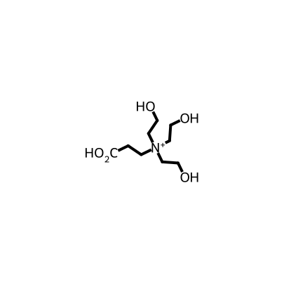 O=C(O)CC[N+](CCO)(CCO)CCO